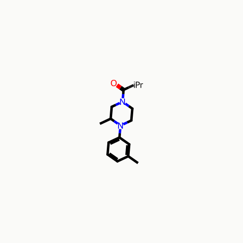 Cc1cccc(N2CCN(C(=O)C(C)C)CC2C)c1